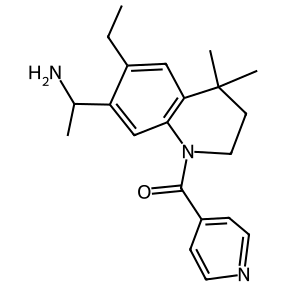 CCc1cc2c(cc1C(C)N)N(C(=O)c1ccncc1)CCC2(C)C